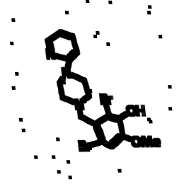 COc1cc(Br)c(CN2CCN(c3ccccn3)CC2)c(Br)c1O